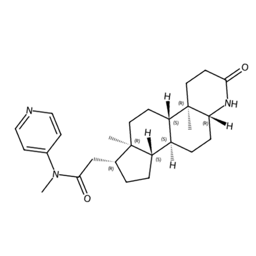 CN(C(=O)C[C@H]1CC[C@H]2[C@@H]3CC[C@H]4NC(=O)CC[C@]4(C)[C@H]3CC[C@]12C)c1ccncc1